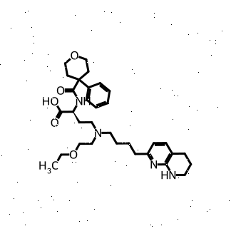 CCOCCN(CCCCc1ccc2c(n1)NCCC2)CC[C@H](NC(=O)C1(c2ccccc2)CCOCC1)C(=O)O